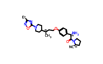 CCc1noc(N2CCC([C@H](C)CCOc3ccc([C@H](N)C(=O)N4CCC[C@H]4C#N)cc3)CC2)n1